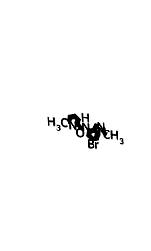 Cc1cccc(C(=O)Nc2cc(Br)cc3c2cnn3C)n1